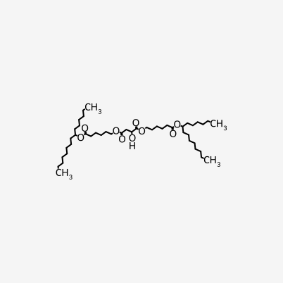 CCCCCCCCC(CCCCCC)OC(=O)CCCCCOC(=O)CC(O)C(=O)OCCCCCC(=O)OC(CCCCCC)CCCCCCCC